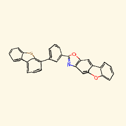 c1cc(-c2nc3cc4oc5ccccc5c4cc3o2)cc(-c2cccc3c2sc2ccccc23)c1